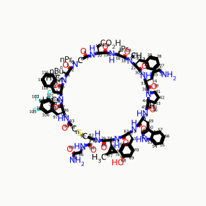 CCCC[C@H]1C(=O)N(CCC)CC(=O)N[C@@H](CC(=O)O)C(=O)N[C@@H](C(C)C)C(=O)N(C)[C@@H](Cc2ccccc2)C(=O)N[C@@H](CCCN)C(=O)N2CCC[C@@H]2C(=O)N[C@@H](Cc2c[nH]c3ccccc23)C(=O)N[C@@H](Cc2ccc(O)cc2)C(=O)N[C@@H](C2CC2C)C(=O)N[C@H](C(=O)NCC(N)=O)CSCC(=O)N[C@@H](Cc2cc(F)c(F)c(F)c2)C(=O)N(C)C(Cc2ccccc2)C(=O)N1C